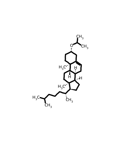 CC(C)CCC[C@@H](C)[C@@H]1CC[C@@H]2[C@@H]3CC=C4C[C@@H](OC(C)C)CC[C@]4(C)[C@H]3CC[C@@]21C